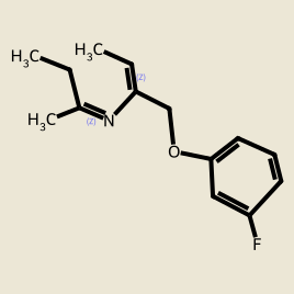 C/C=C(COc1cccc(F)c1)\N=C(\C)CC